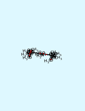 CC(=O)N[C@H]1[C@H](OCCCCCCNC(=O)CC[C@H](N)C(=O)NCCCCCCO[C@@H]2O[C@H](COC(C)=O)[C@H](OC(C)=O)[C@H](OC(C)=O)[C@H]2NC(C)=O)O[C@H](COC(C)=O)[C@H](OC(C)=O)[C@@H]1OC(C)=O